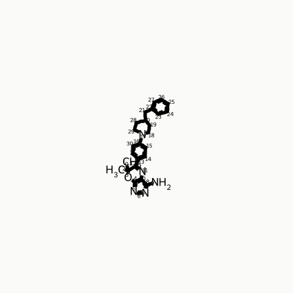 CC1(C)Oc2ncnc(N)c2N=C1c1ccc(N2CCC(Cc3ccccc3)CC2)cc1